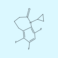 O=C1CCCc2c(F)c(F)cc(F)c2N1C1CC1